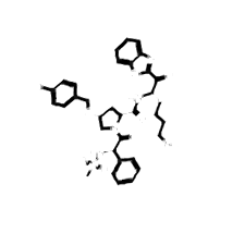 CS(=O)(=O)N[C@@H](C(=O)N1C[C@H](OCc2ccc(Cl)cc2)C[C@H]1C(=O)N[C@@H](CCCCN)C(=O)c1nc2ccccc2o1)c1ccccc1